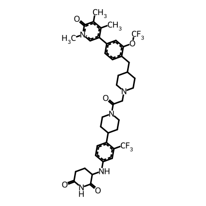 Cc1c(-c2ccc(CC3CCN(CC(=O)N4CCC(c5ccc(NC6CCC(=O)NC6=O)cc5C(F)(F)F)CC4)CC3)c(OC(F)(F)F)c2)cn(C)c(=O)c1C